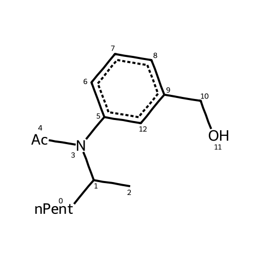 CCCCCC(C)N(C(C)=O)c1cccc(CO)c1